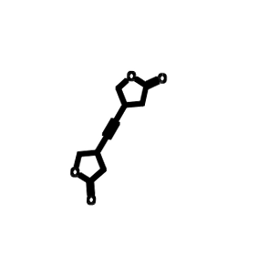 O=C1CC(C#CC2COC(=O)C2)CO1